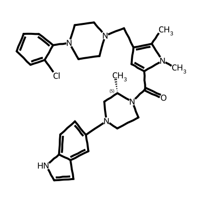 Cc1c(CN2CCN(c3ccccc3Cl)CC2)cc(C(=O)N2CCN(c3ccc4[nH]ccc4c3)C[C@@H]2C)n1C